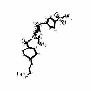 CCCCC1CCC(C(=O)n2nc(Nc3ccc(S(N)(=O)=O)cc3)nc2N)CC1